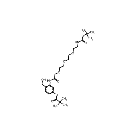 CC(C)(C)OC(=O)NCCOCCOCCOCC(=O)Nc1cc(OC(=O)C(C)(C)C)ccc1CO